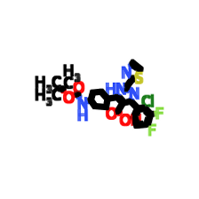 CC(C)(C)OC(=O)NC1CCC(C2=C(C(=O)O)C(c3ccc(F)c(F)c3Cl)N=C(c3nccs3)N2)CC1